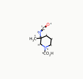 CC1(N=C=O)CCCN(C(=O)O)C1